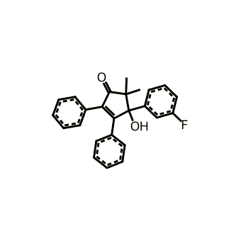 CC1(C)C(=O)C(c2ccccc2)=C(c2ccccc2)C1(O)c1cccc(F)c1